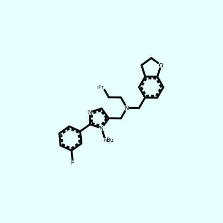 CCCCn1c(CN(CCC(C)C)Cc2ccc3c(c2)CCO3)cnc1-c1cccc(F)c1